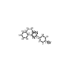 Brc1ccc(-c2nc3n(n2)CCc2ccccc2-3)cc1